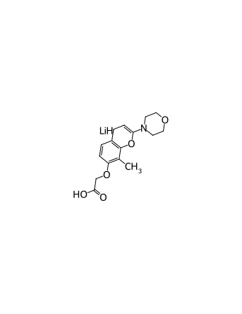 Cc1c(OCC(=O)O)ccc2c1OC(N1CCOCC1)=CC2.[LiH]